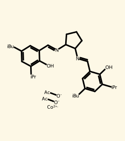 CC(=O)[O-].CC(=O)[O-].CCC(C)c1cc(C=NC2CCCC2N=Cc2cc(C(C)CC)cc(C(C)C)c2O)c(O)c(C(C)C)c1.[Co+2]